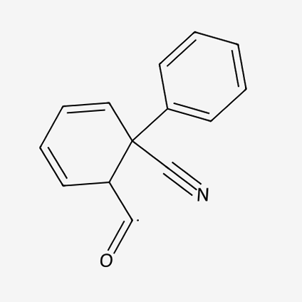 N#CC1(c2ccccc2)C=CC=CC1[C]=O